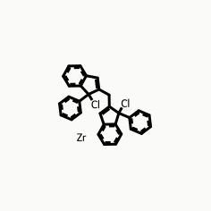 ClC1(c2ccccc2)C(CC2=Cc3ccccc3C2(Cl)c2ccccc2)=Cc2ccccc21.[Zr]